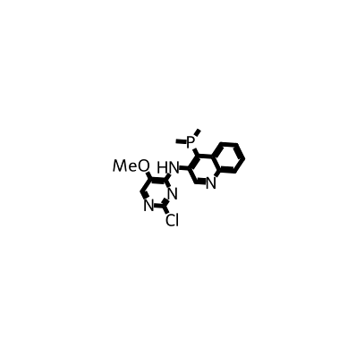 COc1cnc(Cl)nc1Nc1cnc2ccccc2c1P(C)C